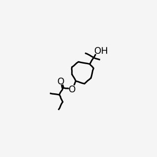 CCC(C)C(=O)OC1CCCC(C(C)(C)O)CCC1